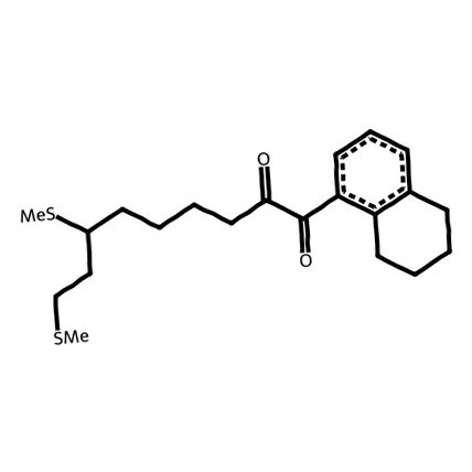 CSCCC(CCCCC(=O)C(=O)c1cccc2c1CCCC2)SC